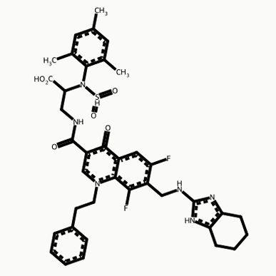 Cc1cc(C)c(N(C(CNC(=O)c2cn(CCc3ccccc3)c3c(F)c(CNc4nc5c([nH]4)CCCC5)c(F)cc3c2=O)C(=O)O)[SH](=O)=O)c(C)c1